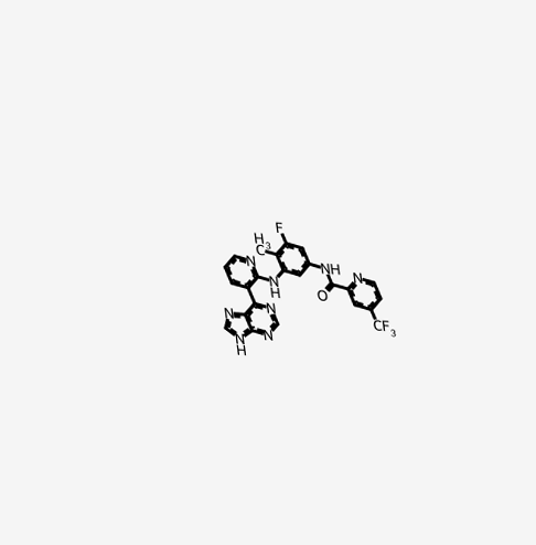 Cc1c(F)cc(NC(=O)c2cc(C(F)(F)F)ccn2)cc1Nc1ncccc1-c1ncnc2[nH]cnc12